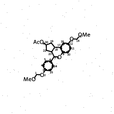 COCOc1ccc(C2Oc3ccc(OCOC)cc3C3CC(OC(C)=O)CC32)cc1